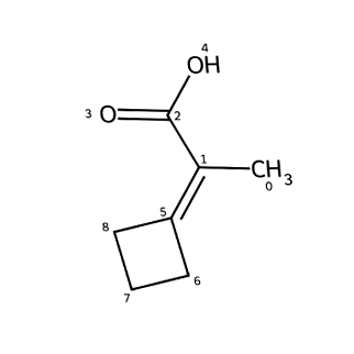 CC(C(=O)O)=C1CCC1